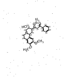 COc1cc2c(cc1OC)C1CC(N(CC(=O)c3ccccc3)OC)CCN1CC2.Cl